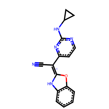 N#C/C(=C1\Nc2ccccc2O1)c1ccnc(NC2CC2)n1